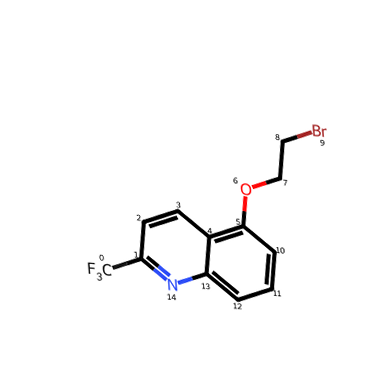 FC(F)(F)c1ccc2c(OCCBr)cccc2n1